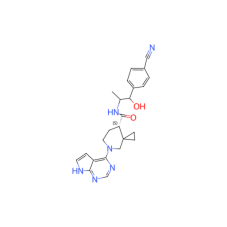 CC(NC(=O)[C@H]1CCN(c2ncnc3[nH]ccc23)CC12CC2)C(O)c1ccc(C#N)cc1